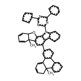 CC12CC=CC=C1c1cc(-c3cc4c(c5c3c3ccccc3n5-c3nc(-c5ccccc5)nc(-c5ccccc5)n3)OC3C=CC=CC43C)ccc1-c1ccccc12